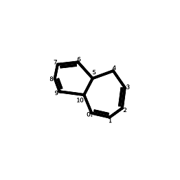 [C]1=CC=CCC2C=CC=CC12